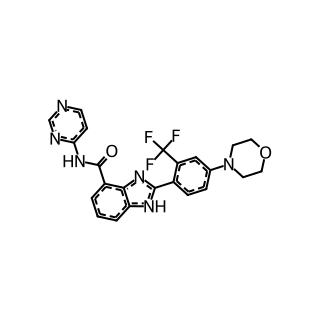 O=C(Nc1ccncn1)c1cccc2[nH]c(-c3ccc(N4CCOCC4)cc3C(F)(F)F)nc12